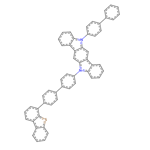 c1ccc(-c2ccc(-n3c4ccccc4c4cc5c(cc43)c3ccccc3n5-c3ccc(-c4ccc(-c5cccc6c5sc5ccccc56)cc4)cc3)cc2)cc1